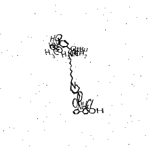 CC(C)(C)[Si](C)(C)O[C@@H](CNCCCCCCCCCN1CCC(OC(=O)Nc2ccccc2-c2ccc(O)c(Cl)c2)CC1)c1ccc(O)c(NS(C)(=O)=O)c1